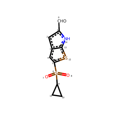 O=Cc1cc2cc(S(=O)(=O)C3CC3)sc2[nH]1